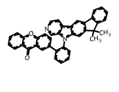 CC1(C)c2ccccc2-c2cc3c4ccncc4n(-c4ccccc4-c4ccc5oc6ccccc6c(=O)c5c4)c3cc21